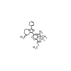 CCCNC(=O)[C@@H](NC(=O)c1nc(C2=CC=CCC2)n2c1CN(C)CCC2)C(C)(C)C